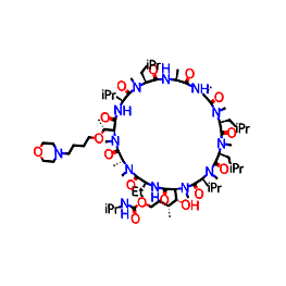 CC[C@@H]1NC(=O)[C@H]([C@H](O)[C@H](C)CCOC(=O)NC(C)C)N(C)C(=O)[C@H](C(C)C)N(C)C(=O)[C@H](CC(C)C)N(C)C(=O)[C@H](CC(C)C)N(C)C(=O)[C@@H](C)NC(=O)[C@H](C)NC(=O)[C@H](CC(C)C)N(C)C(=O)[C@H](C(C)C)NC(=O)[C@H]([C@@H](C)OCCCCN2CCOCC2)N(C)C(=O)[C@@H](C)N(C)C1=O